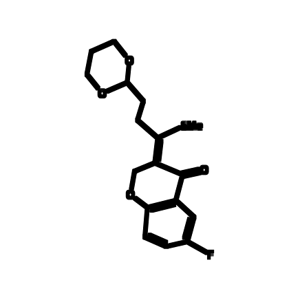 CSC(CCC1OCCCO1)=C1COc2ccc(F)cc2C1=O